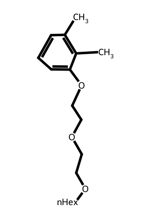 CCCCCCOCCOCCOc1cccc(C)c1C